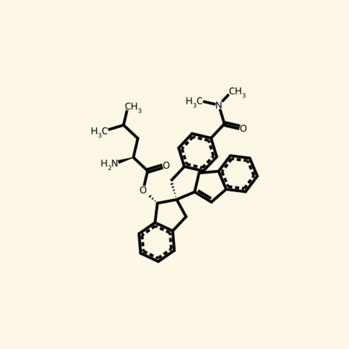 CC(C)C[C@H](N)C(=O)O[C@H]1c2ccccc2C[C@]1(Cc1ccc(C(=O)N(C)C)cc1)C1=Cc2ccccc2C1